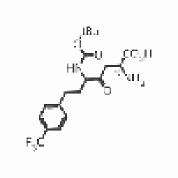 CC(C)(C)OC(=O)NC(CCc1ccc(C(F)(F)F)cc1)C(=O)C[C@H](N)C(=O)O